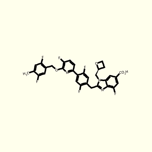 Cc1cc(F)c(COc2nc(-c3cc(F)c(Cc4nc5c(F)cc(C(=O)O)cc5n4C[C@@H]4CCO4)cc3F)ccc2F)cc1F